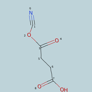 N#COC(=O)CCC(=O)O